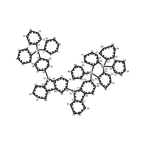 c1ccc([Si](c2ccccc2)(c2ccccc2)c2ccc(-n3c4ccccc4c4cc(-n5c6ccccc6c6ccc([Si]7(c8ccccc8)c8ccccc8[Si](c8ccccc8)(c8ccccc8)c8ccccc87)cc65)ccc43)cc2)cc1